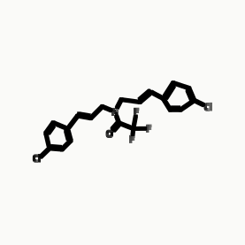 O=C(N(CC=Cc1ccc(Cl)cc1)CC=Cc1ccc(Cl)cc1)C(F)(F)F